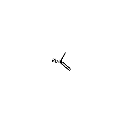 C=CC.[RbH]